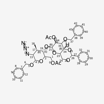 CC(=O)OCC1OC(OCc2ccccc2)C(N=[N+]=[N-])[C@@H](C)[C@@H]1O[C@@H]1OC2COC(c3ccccc3)O[C@H]2C(OCc2ccccc2)[C@@H]1OC(C)=O